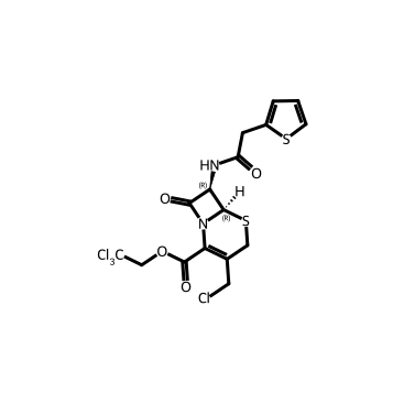 O=C(Cc1cccs1)N[C@@H]1C(=O)N2C(C(=O)OCC(Cl)(Cl)Cl)=C(CCl)CS[C@H]12